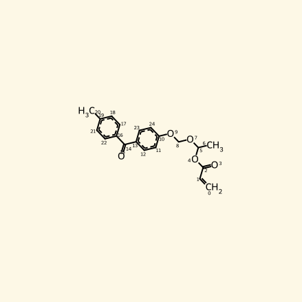 C=CC(=O)OC(C)OCOc1ccc(C(=O)c2ccc(C)cc2)cc1